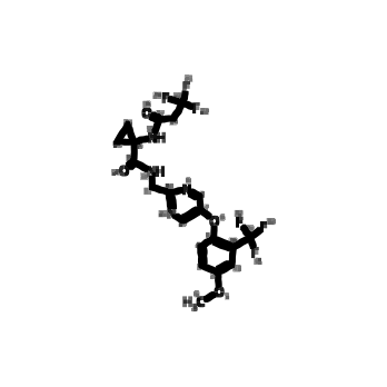 COc1ccc(Oc2cnc(CNC(=O)C3(NC(=O)CC(F)(F)F)CC3)nc2)c(C(F)(F)F)c1